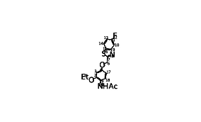 CCOc1cc(OCc2nc3cc(F)ccc3s2)ccc1NC(C)=O